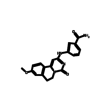 COc1ccc2c(c1)CCn1c-2cc(Nc2cccc(C(N)=O)c2)nc1=O